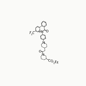 CCOC(=O)[C@H]1CCCN(C(=O)CC2CCN(c3ccc(NC(=O)c4ccccc4-c4ccc(C(F)(F)F)cc4)cc3)CC2)C1